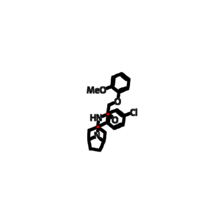 COc1ccccc1OCC(=O)NC1CC2CCC(C1)N2Cc1ccc(Cl)cc1